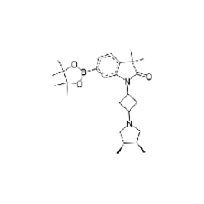 C[C@@H]1CN(C2CC(N3C(=O)C(C)(C)c4ccc(B5OC(C)(C)C(C)(C)O5)cc43)C2)C[C@@H]1C